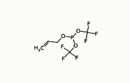 C=CCOP(OC(F)(F)F)OC(F)(F)F